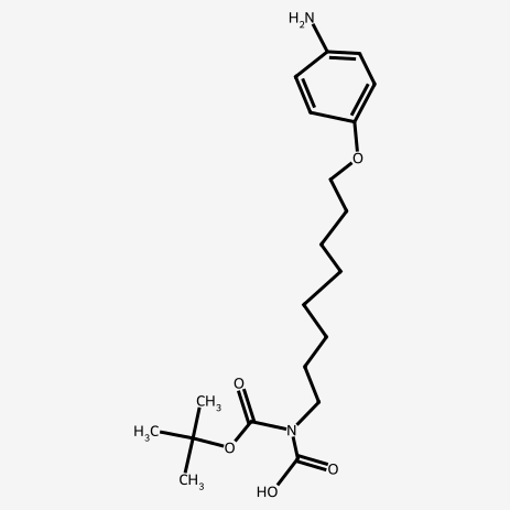 CC(C)(C)OC(=O)N(CCCCCCCCOc1ccc(N)cc1)C(=O)O